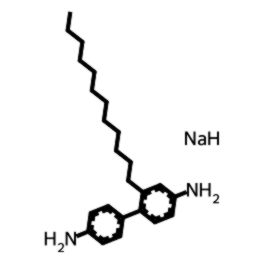 CCCCCCCCCCCCc1cc(N)ccc1-c1ccc(N)cc1.[NaH]